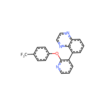 FC(F)(F)c1ccc(Oc2ncccc2-c2cccc3nccnc23)cc1